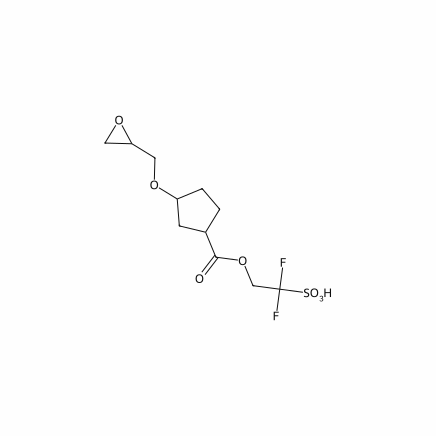 O=C(OCC(F)(F)S(=O)(=O)O)C1CCC(OCC2CO2)C1